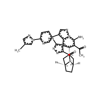 CC(=O)c1c([C@@H]2C[C@H]3CC[C@@H](C2)N3C(=O)c2nnc(N)[nH]2)nc2c(-c3ccc(-n4cc(C)cn4)nc3)cnn2c1N